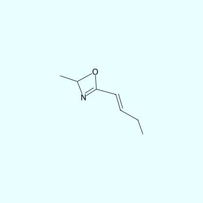 CC/C=C/C1=NC(C)O1